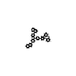 c1cc(-c2cccc3ccccc23)cc(N(c2ccc(-c3ccc4ccccc4c3)cc2)c2ccc(-c3ccc4c(c3)c3cccc5c3n4-c3ccccc3O5)cc2)c1